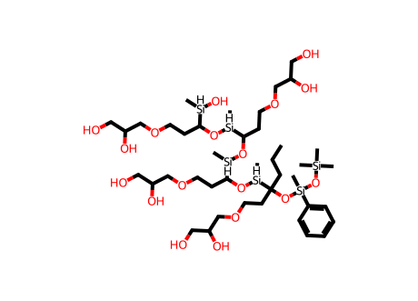 CCCC(CCOCC(O)CO)(O[Si](C)(O[Si](C)(C)C)c1ccccc1)[SiH](C)OC(CCOCC(O)CO)[SiH](C)OC(CCOCC(O)CO)[SiH](C)OC(CCOCC(O)CO)[SiH](C)O